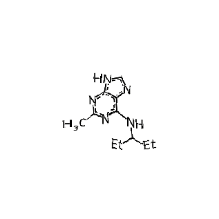 CCC(CC)Nc1nc(C)nc2[nH]cnc12